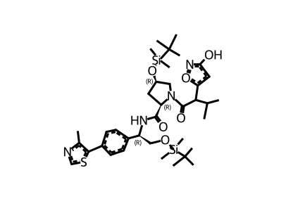 Cc1ncsc1-c1ccc([C@H](CO[Si](C)(C)C(C)(C)C)NC(=O)[C@H]2C[C@@H](O[Si](C)(C)C(C)(C)C)CN2C(=O)C(c2cc(O)no2)C(C)C)cc1